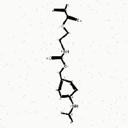 C=C(C)C(=O)OCCNC(=O)OCc1ccc(NC(C)C)cc1